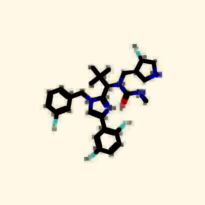 CNC(=O)N(C[C@@H]1CNC[C@@H]1F)[C@@H](c1nc(-c2cc(F)ccc2F)cn1Cc1cccc(F)c1)C(C)(C)C